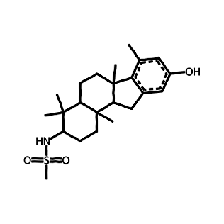 Cc1cc(O)cc2c1C1(C)CCC3C(C)(C)C(NS(C)(=O)=O)CCC3(C)C1C2